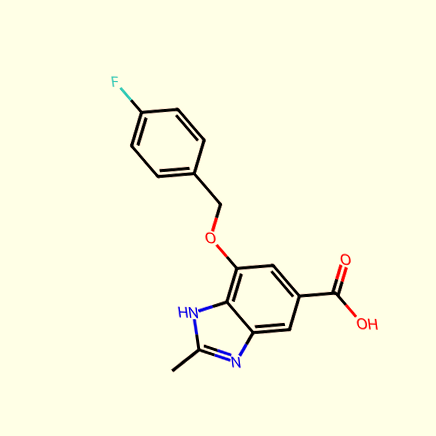 Cc1nc2cc(C(=O)O)cc(OCc3ccc(F)cc3)c2[nH]1